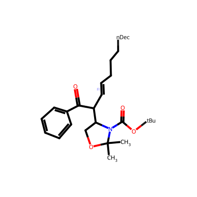 CCCCCCCCCCCCC/C=C/C(C(=O)c1ccccc1)C1COC(C)(C)N1C(=O)OC(C)(C)C